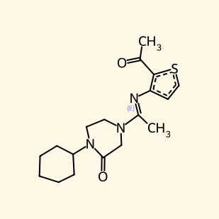 CC(=O)c1sccc1/N=C(\C)N1CCN(C2CCCCC2)C(=O)C1